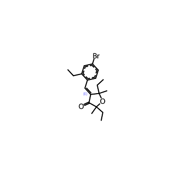 CCc1cc(Br)ccc1/C=C1/C(=O)C(C)(CC)OC1(C)CC